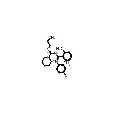 C=CC/N=C(\N/C(=N/c1ccc(F)cc1)c1c(C)cccc1C)N1CCCCC1C